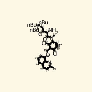 CCCC[P+](CCCC)(CCCC)CC(=O)[C@H](N)C(=O)N(C)c1ccc(Cl)c(COc2cccc3ccc(C)nc23)c1Cl.[Br-]